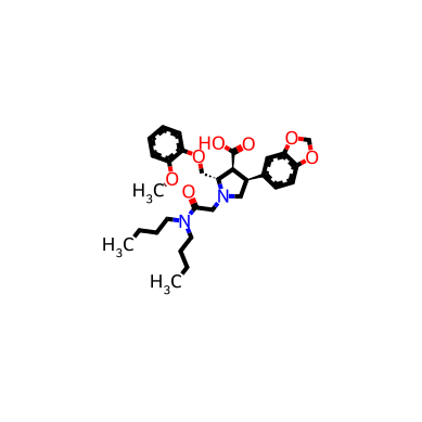 CCCCN(CCCC)C(=O)CN1C[C@H](c2ccc3c(c2)OCO3)[C@H](C(=O)O)[C@H]1COc1ccccc1OC